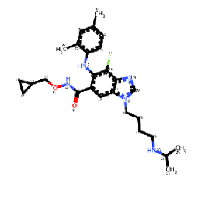 Cc1ccc(Nc2c(C(=O)NOCC3CC3)cc3c(ncn3CCCCNC(C)C)c2F)c(C)c1